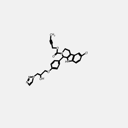 CC#CCOC(=O)N1CCc2c([nH]c3ccc(Cl)cc23)C1c1ccc(OCC(O)Cn2ccnn2)cc1